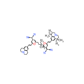 CC(C)(CCC1=CC(C(C#N)C#N)C=C(/C=C/c2cc3c4c(c2)CCCN4CCC3)O1)C1=CC(=C(C#N)C#N)C=C(/C=C/c2cc3c4c(c2)C(C)(C)CCN4CCC3(C)C)O1